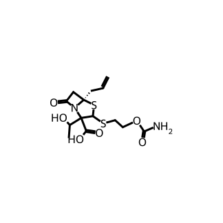 C=CC[C@@]12CC(=O)N1C(C(=O)O)(C(C)O)C(SCCOC(N)=O)S2